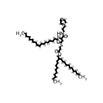 CCCCCCCC/C=C\CCCCCCCC(=O)NC(CCSCCC(=O)OCC(CCCCCCCCCC)CCCCCCCCCCCC)C(=O)NCCCN1CCOCC1